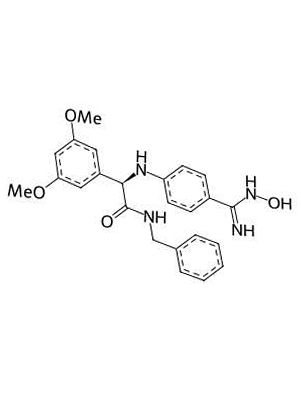 COc1cc(OC)cc([C@@H](Nc2ccc(C(=N)NO)cc2)C(=O)NCc2ccccc2)c1